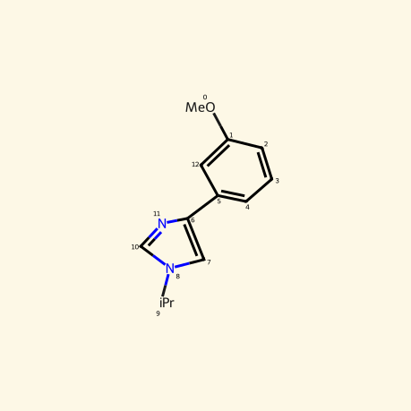 COc1cccc(-c2cn(C(C)C)cn2)c1